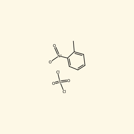 Cc1ccccc1[N+](=O)[O-].O=S(=O)(Cl)Cl